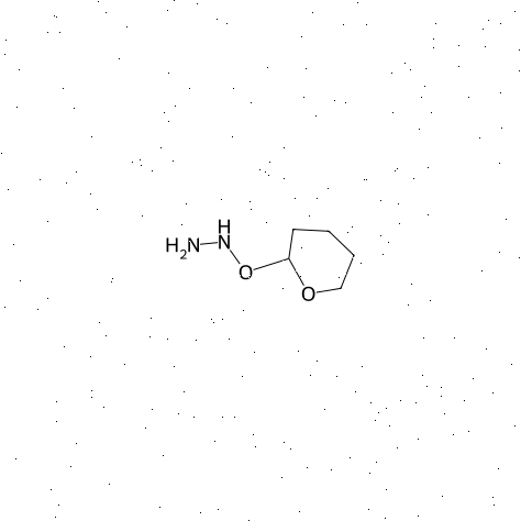 NNOC1CCCCO1